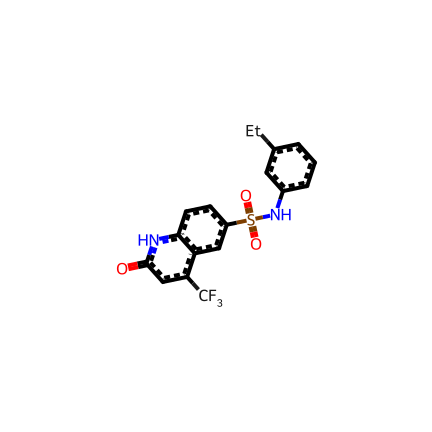 CCc1cccc(NS(=O)(=O)c2ccc3[nH]c(=O)cc(C(F)(F)F)c3c2)c1